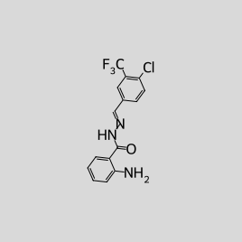 Nc1ccccc1C(=O)NN=Cc1ccc(Cl)c(C(F)(F)F)c1